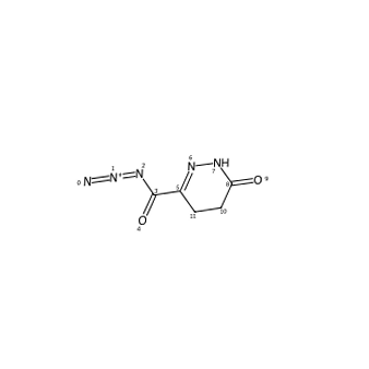 [N-]=[N+]=NC(=O)C1=NNC(=O)CC1